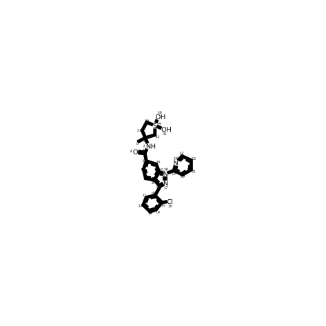 CC1(NC(=O)c2ccc3c(-c4ccccc4Cl)nn(-c4ccccn4)c3c2)CCS(O)(O)C1